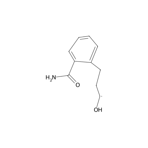 NC(=O)c1ccccc1CC[CH]O